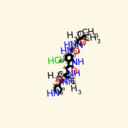 Cc1[nH]c(C=C2C(=O)Nc3cc(NC(=O)Nc4cc(C(C)(C)C)on4)ccc32)c(C)c1NC(=O)C1CCNCC1.Cl